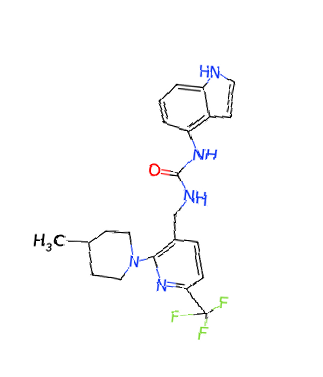 CC1CCN(c2nc(C(F)(F)F)ccc2CNC(=O)Nc2cccc3[nH]ccc23)CC1